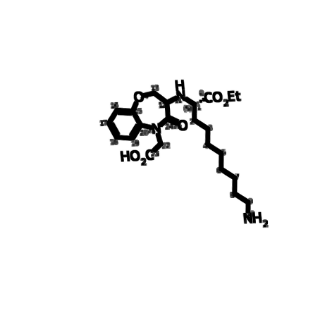 CCOC(=O)[C@H](CCCCCCCCN)NC1COc2ccccc2N(CC(=O)O)C1=O